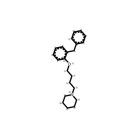 c1ccc(Cc2ccccc2OCCCCN2CCCCC2)cc1